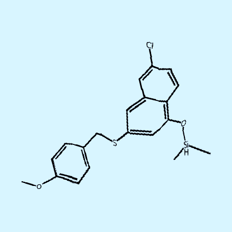 COc1ccc(CSc2cc(O[SiH](C)C)c3ccc(Cl)cc3c2)cc1